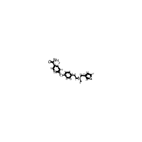 CN(CCc1ccc(Oc2ccc(C(N)=O)cn2)cc1)Cc1ccsc1